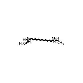 CCc1nc(CCCCCCCCCCCCc2n[nH]c(CC)n2)n[nH]1